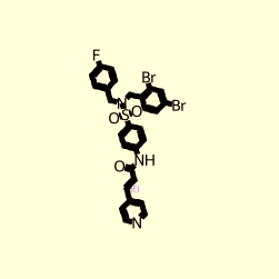 O=C(/C=C/c1ccncc1)Nc1ccc(S(=O)(=O)N(Cc2ccc(F)cc2)Cc2ccc(Br)cc2Br)cc1